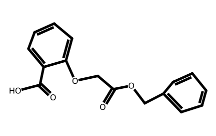 O=C(COc1ccccc1C(=O)O)OCc1ccccc1